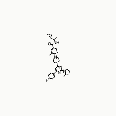 COCC(C)NC(=O)c1cnc(N2CCN(c3cc(-c4ccc(F)cc4)nc(N4CCCC4C)n3)CC2)c(C)c1